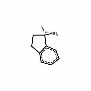 C[C@@]1(N)CCc2ccccc21